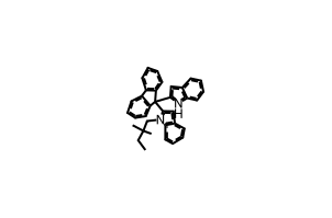 CCC(C)(C)Cn1c(C2(c3cc4ccccc4[nH]3)c3ccccc3-c3ccccc32)cc2ccccc21